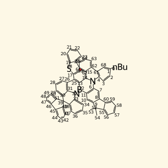 CCCCc1ccc(N2c3cc4c(cc3B3c5c2cc2c(sc6ccccc62)c5-c2cccc5c2N3c2ccccc2C52c3ccccc3-c3ccccc32)C(C)(C)c2ccccc2-4)c(-c2ccccc2)c1